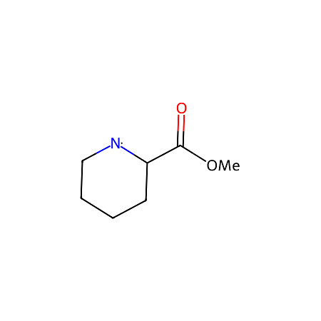 COC(=O)C1CCCC[N]1